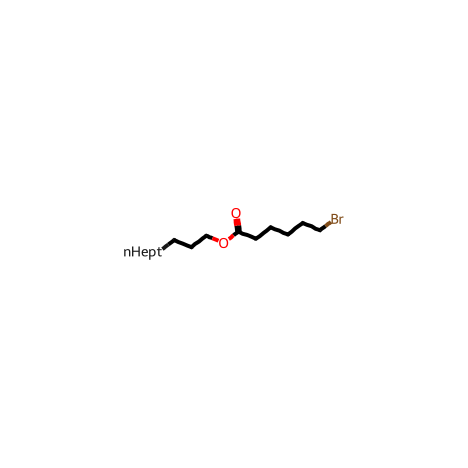 CCCCCCCCCCOC(=O)CCCCCBr